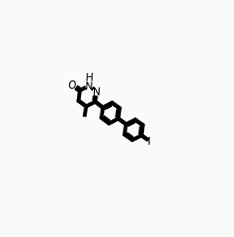 CC1CC(=O)NN=C1c1ccc(-c2ccc(I)cc2)cc1